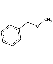 CO[C]c1[c]cccc1